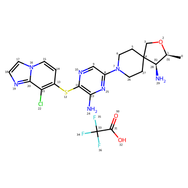 C[C@@H]1OCC2(CCN(c3cnc(Sc4ccn5ccnc5c4Cl)c(N)n3)CC2)[C@@H]1N.O=C(O)C(F)(F)F